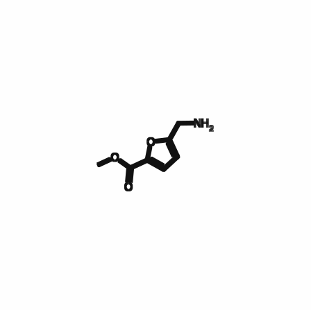 COC(=O)c1ccc(CN)o1